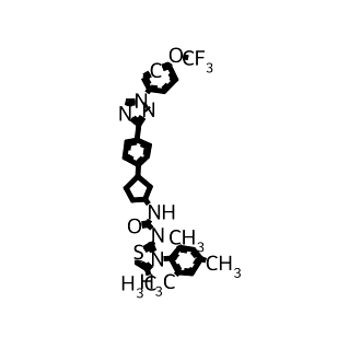 Cc1cc(C)c(-n2c(C)cs/c2=N\C(=O)NC2CCC(c3ccc(-c4ncn(-c5ccc(OC(F)(F)F)cc5)n4)cc3)C2)c(C)c1